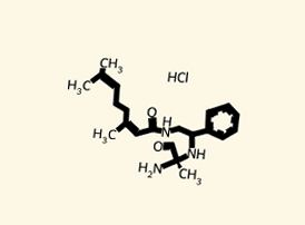 CC(C)=CCCC(C)=CC(=O)NCC(N[C@](C)(N)C=O)c1ccccc1.Cl